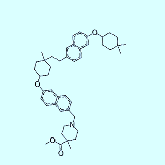 COC(=O)C1(C)CCN(Cc2ccc3cc(OC4CCC(C)(CCc5ccc6cc(OC7CCC(C)(C)CC7)ccc6c5)CC4)ccc3c2)CC1